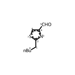 CCCCCc1nc(C=O)cs1